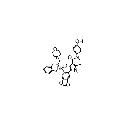 Cc1c(C(=O)N(C)c2ccc(O)cc2)cc(-c2cc3c(cc2C(=O)N2Cc4ccccc4C[C@H]2CN2CCOCC2)OCO3)n1C